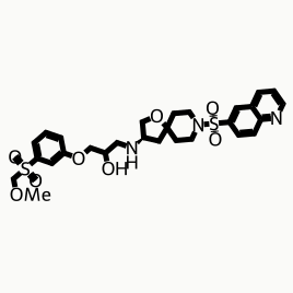 COCS(=O)(=O)c1cccc(OCC(O)CN[C@H]2COC3(CCN(S(=O)(=O)c4ccc5ncccc5c4)CC3)C2)c1